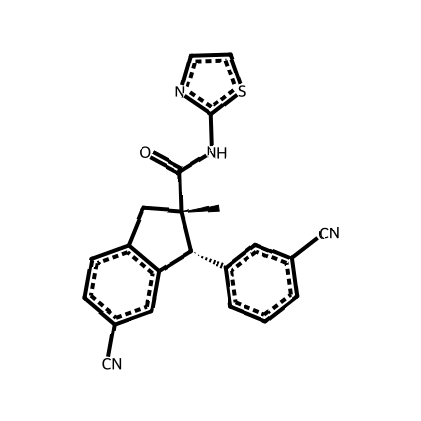 C[C@]1(C(=O)Nc2nccs2)Cc2ccc(C#N)cc2[C@H]1c1cccc(C#N)c1